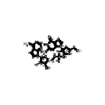 Nc1nc2c(ncn2[C@@]2(OP(O)(=S)OC[C@H]3O[C@@H](n4ccc5c(N)ncnc54)[C@@H](F)[C@@H]3O)CS[C@H](CO)C2)c(=O)[nH]1